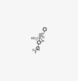 C=C(C)CC(NC(=O)OCc1ccccc1)(C(=O)O)c1ccc(-c2cnn(C(F)F)c2)cc1